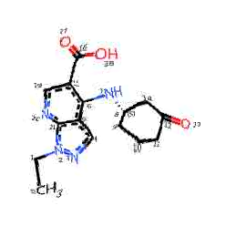 CCn1ncc2c(N[C@H]3CCCC(=O)C3)c(C(=O)O)cnc21